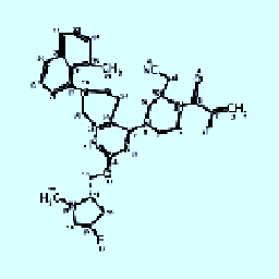 C=C(F)C(=O)N1CCN(c2nc(OC[C@@H]3C[C@@H](F)CN3C)nc3c2CCN(c2cccc4cccc(C)c24)C3)CC1CC#N